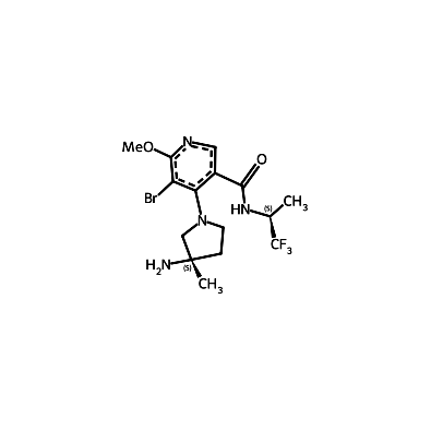 COc1ncc(C(=O)N[C@@H](C)C(F)(F)F)c(N2CC[C@](C)(N)C2)c1Br